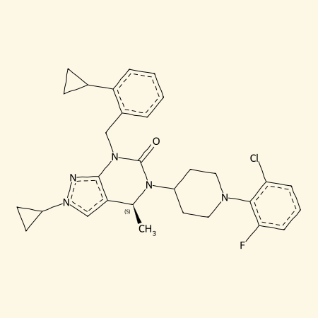 C[C@H]1c2cn(C3CC3)nc2N(Cc2ccccc2C2CC2)C(=O)N1C1CCN(c2c(F)cccc2Cl)CC1